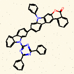 O=c1oc2cc3c(cc2c2ccccc12)c1ccc(-c2ccc4c5ccccc5n(-c5nc(-c6ccccc6)nc(-c6ccccc6)n5)c4c2)cc1n3-c1ccccc1